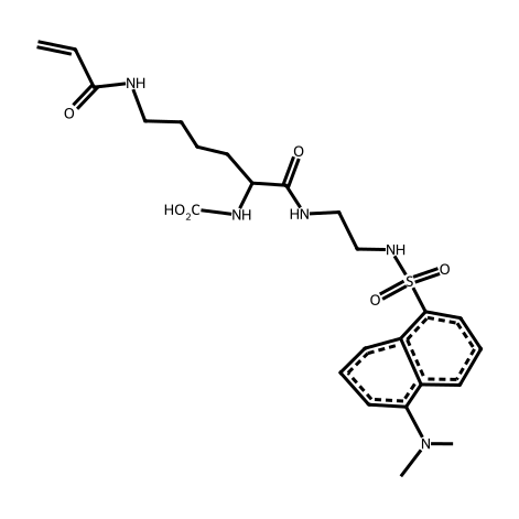 C=CC(=O)NCCCCC(NC(=O)O)C(=O)NCCNS(=O)(=O)c1cccc2c(N(C)C)cccc12